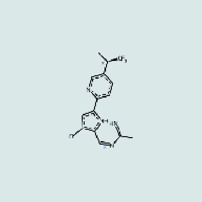 CC(=N)/N=C\c1[nH]c(-c2ccc([C@@H](C)C(F)(F)F)cn2)cc1Cl